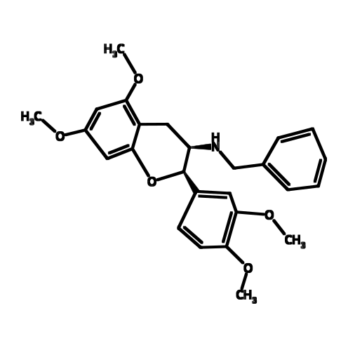 COc1cc(OC)c2c(c1)O[C@H](c1ccc(OC)c(OC)c1)[C@H](NCc1ccccc1)C2